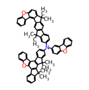 CC1(C)c2cc(N(c3ccc4c(c3)C(C)(C)c3c5c(c6oc7ccccc7c6c3-4)-c3ccccc3C5(C)C)c3ccc4oc5ccccc5c4c3)ccc2-c2cc3c(cc21)-c1c(ccc2oc4ccccc4c12)C3(C)C